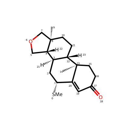 CS[C@@H]1C[C@H]2[C@@H]3COC[C@@]3(C)CC[C@@H]2[C@@]2(C)CCC(=O)C=C12